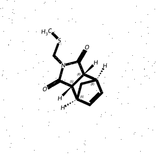 CSCN1C(=O)[C@@H]2[C@H](C1=O)[C@H]1C=C[C@@H]2C1